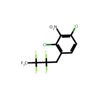 O=[N+]([O-])c1c(Cl)ccc(CC(F)(F)C(F)(F)C(F)(F)F)c1Cl